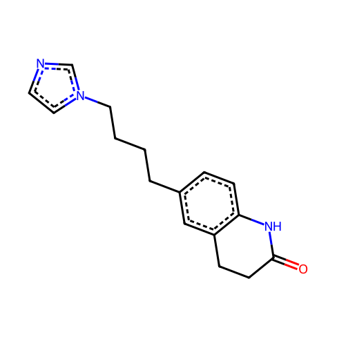 O=C1CCc2cc(CCCCn3ccnc3)ccc2N1